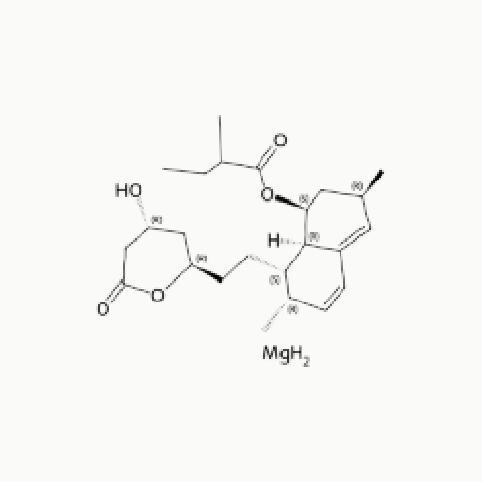 CCC(C)C(=O)O[C@H]1C[C@@H](C)C=C2C=C[C@H](C)[C@H](CC[C@@H]3C[C@@H](O)CC(=O)O3)[C@H]21.[MgH2]